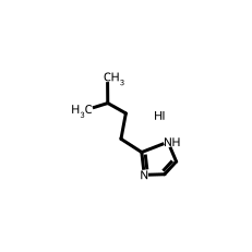 CC(C)CCc1ncc[nH]1.I